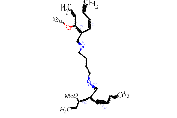 C=C\C=C/C(/C=N/CCCC/N=C/C(/C=C\C=C)=C(/C=C)OC(C)(C)C)=C(\C=C)OC